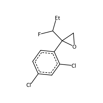 CCC(F)C1(c2ccc(Cl)cc2Cl)CO1